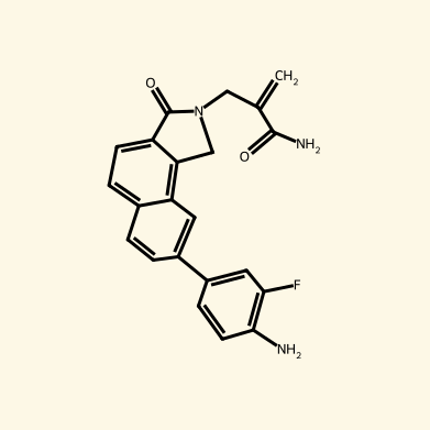 C=C(CN1Cc2c(ccc3ccc(-c4ccc(N)c(F)c4)cc23)C1=O)C(N)=O